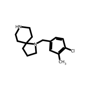 Cc1cc(CN2CCCC23CCNCC3)ccc1Cl